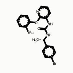 C[C@H](NC(=O)Nc1cccnc1Oc1ccccc1C(C)(C)C)c1ccc(Br)cc1